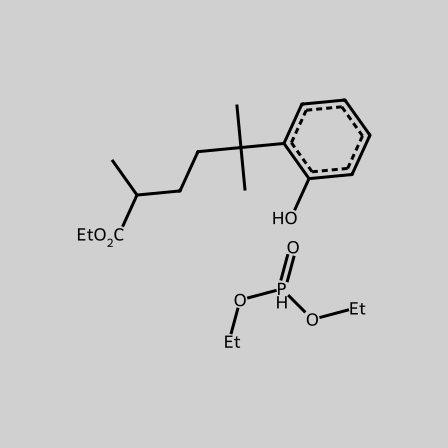 CCOC(=O)C(C)CCC(C)(C)c1ccccc1O.CCO[PH](=O)OCC